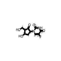 O=C1C(CO)C(O)CC1n1cc(F)c(=O)[nH]c1=O